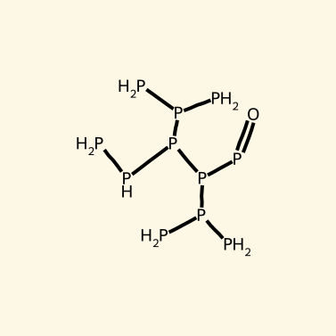 O=PP(P(P)P)P(PP)P(P)P